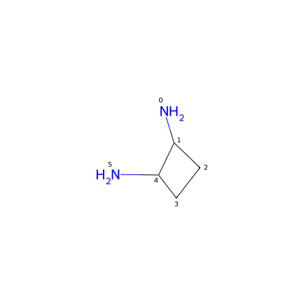 NC1CCC1N